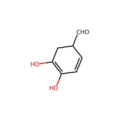 O=CC1C=CC(O)=C(O)C1